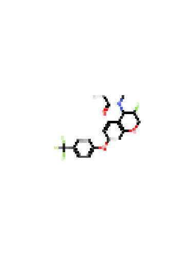 C=CC(=O)N(C)[C@@H]1c2ccc(Oc3ccc(C(F)(F)F)cc3)cc2OC[C@@H]1F